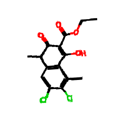 CCOC(=O)C1=C(O)c2c(cc(Cl)c(Cl)c2C)C(C)C1=O